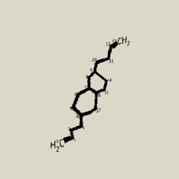 C=CCCC1CCC2CC(CCC=C)CCC2C1